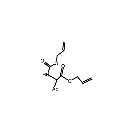 C=CCOC(=O)NC(C(C)=O)C(=O)OCC=C